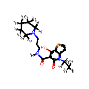 [2H]N(CCCN1C([2H])([2H])C([2H])([2H])C([2H])([2H])C([2H])([2H])C1([2H])[2H])C(=O)c1c(O)c2sccc2n(C([2H])(C)C([2H])([2H])[2H])c1=O